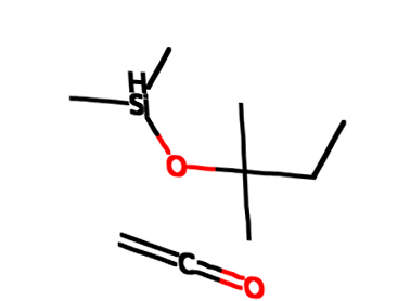 C=C=O.CCC(C)(C)O[SiH](C)C